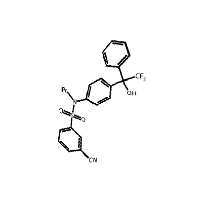 CC(C)N(c1ccc(C(O)(c2ccccc2)C(F)(F)F)cc1)S(=O)(=O)c1cccc(C#N)c1